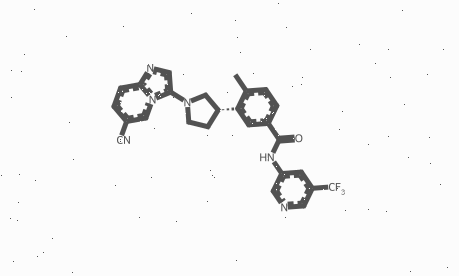 Cc1ccc(C(=O)Nc2cncc(C(F)(F)F)c2)cc1[C@@H]1CCN(c2cnc3ccc(C#N)cn23)C1